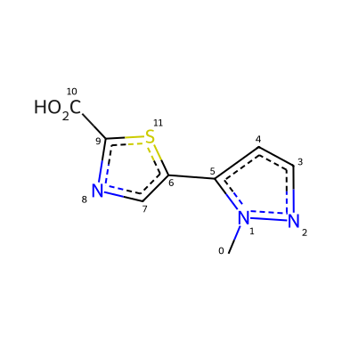 Cn1nccc1-c1cnc(C(=O)O)s1